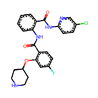 O=C(Nc1ccc(Cl)cn1)c1ccccc1NC(=O)c1ccc(F)cc1OC1CCNCC1